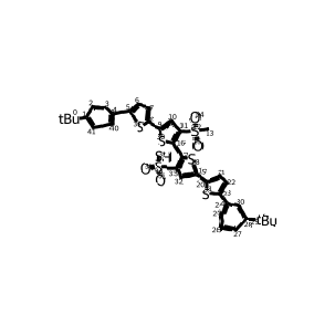 CC(C)(C)c1ccc(-c2ccc(-c3cc(S(C)(=O)=O)c(-c4sc(-c5ccc(-c6cccc(C(C)(C)C)c6)s5)cc4S(=O)(=O)S)s3)s2)cc1